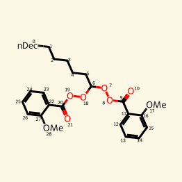 [CH2]CCCCCCCCCCCCCC[C](OOC(=O)c1ccccc1OC)OOC(=O)c1ccccc1OC